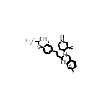 C=C(CCc1ccc(OC(C)C)cc1)N(Cc1ccc(F)cc1)C1CCNCC1F